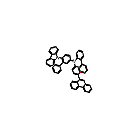 c1ccc(-c2ccccc2N(c2ccc(-c3cc4ccccc4c4ccccc34)cc2)c2ccc(-n3c4ccccc4c4ccccc43)c(-c3ccccc3)c2)cc1